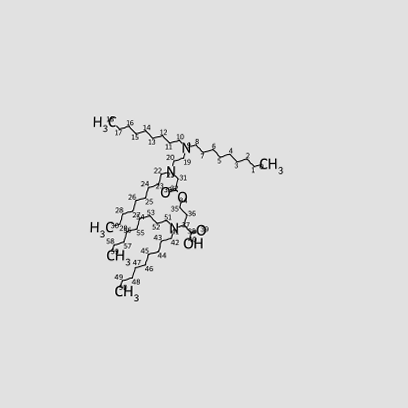 CCCCCCCCCN(CCCCCCCCC)CCN(CCCCCCCCC)CC(=O)OCCC(C(=O)O)N(CCCCCCCCC)CCCCCCCCC